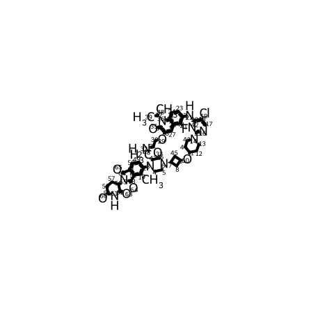 Cc1c(N2CCN([C@H]3C[C@H](OC4CCN(c5ncc(Cl)c(Nc6ccc7c(cc(OCC(N)=O)c(=O)n7C(C)C)c6F)n5)CC4)C3)C[C@H]2C)ccc2c1C(=O)N(C1CCC(=O)NC1=O)C2=O